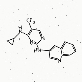 FC(F)(F)c1cnc(Nc2cnc3ccccc3c2)nc1NC1CC1